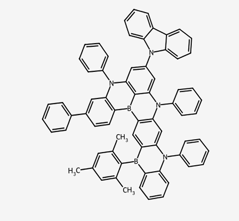 Cc1cc(C)c(B2c3ccccc3N(c3ccccc3)c3cc4c(cc32)B2c3ccc(-c5ccccc5)cc3N(c3ccccc3)c3cc(-n5c6ccccc6c6ccccc65)cc(c32)N4c2ccccc2)c(C)c1